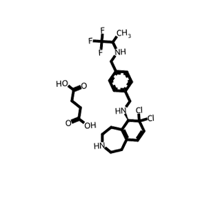 CC(NCc1ccc(CN[C@@H]2C3=C(C=CC2(Cl)Cl)CCNCC3)cc1)C(F)(F)F.O=C(O)CCC(=O)O